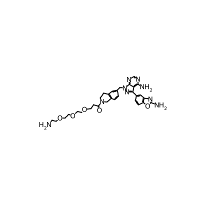 NCCOCCOCCOCCC(=O)N1CCc2cc(Cn3nc(-c4ccc5oc(N)nc5c4)c4c(N)ncnc43)ccc2C1